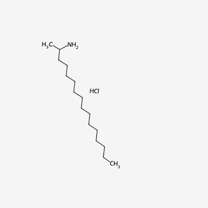 CCCCCCCCCCCCCCC(C)N.Cl